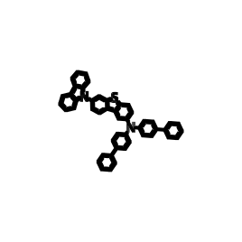 c1ccc(-c2ccc(N(c3ccc(-c4ccccc4)cc3)c3ccc4sc5cc(-n6c7ccccc7c7ccccc76)ccc5c4c3)cc2)cc1